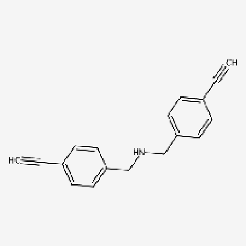 C#Cc1ccc(CNCc2ccc(C#C)cc2)cc1